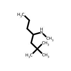 CCCC(CC(C)(C)C)NC